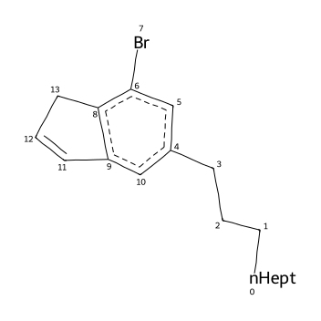 CCCCCCCCCCc1cc(Br)c2c(c1)C=CC2